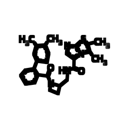 Cc1ccc(-c2ccccc2C(=O)N2CCC2CNC(=O)c2cnc3sc(C)c(C)n23)cc1C